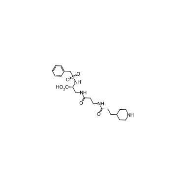 O=C(CCC1CCNCC1)NCCC(=O)NC[C@H](NS(=O)(=O)Cc1ccccc1)C(=O)O